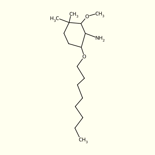 CCCCCCCCOC1CCC(C)(C)C(OC)C1N